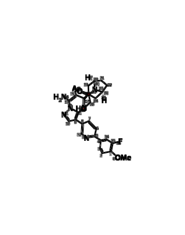 COc1ccc(-c2ccc(-c3cnn4c(N)c(C(C)=O)c([C@H]5C[C@H]6CC[C@@H](C5)N6C(=O)CO)nc34)cn2)cc1F